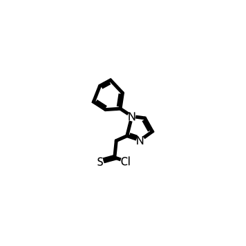 S=C(Cl)Cc1nccn1-c1ccccc1